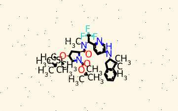 CN(C(=O)[C@@H]1C[C@@H](O[Si](C)(C)C(C)(C)C)CN1C(=O)OC(C)(C)C)[C@@H](c1ccc(N[C@H]2Cc3ccccc3C2(C)C)cn1)C(F)(F)F